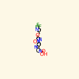 Cn1c2c(c3ccc(-n4ncc(OCc5ccc(C(F)(F)F)nc5)cc4=O)cc31)CN(C(=O)O)CCC2